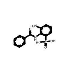 Nc1cccc(P(=O)(O)O)c1NC(=O)c1ccccc1